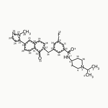 CC(C)N1CCC(NC(=O)c2cc(F)cc(Cn3ccc4cc(-c5ccnn5C)ccc4c3=O)c2)CC1